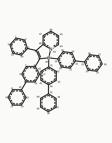 c1ccc(C2=C(c3ccc(-c4ccccc4)cc3)[B-](c3ccc(-c4ccccc4)cc3)(c3ccc(-c4ccccc4)cc3)[n+]3ccccc32)cc1